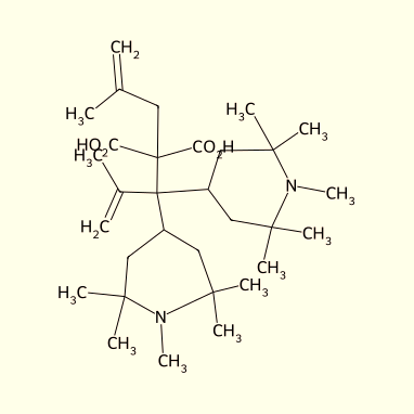 C=C(C)CC(C(=O)O)(C(=O)O)C(C(=C)C)(C1CC(C)(C)N(C)C(C)(C)C1)C1CC(C)(C)N(C)C(C)(C)C1